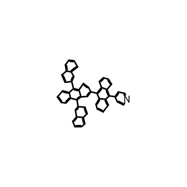 c1ccc2cc(-c3c4ccccc4c(-c4ccc5ccccc5c4)c4cc(-c5c6ccccc6c(-c6ccncc6)c6ccccc56)ccc34)ccc2c1